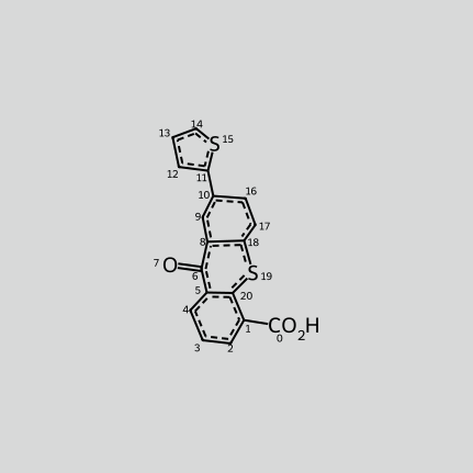 O=C(O)c1cccc2c(=O)c3cc(-c4cccs4)ccc3sc12